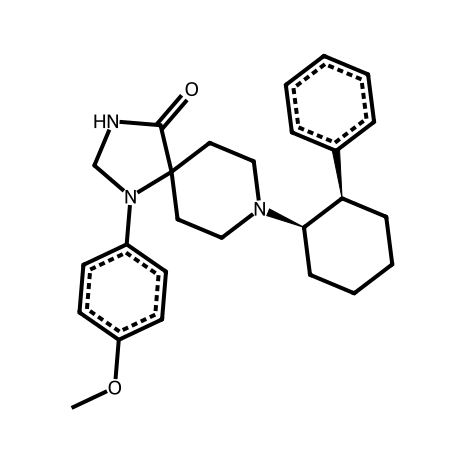 COc1ccc(N2CNC(=O)C23CCN([C@@H]2CCCC[C@@H]2c2ccccc2)CC3)cc1